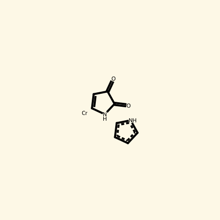 O=C1C=CNC1=O.[Cr].c1cc[nH]c1